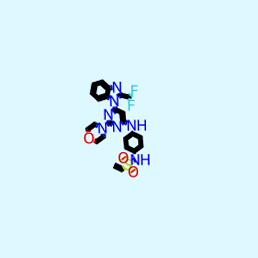 C=CS(=O)(=O)N[C@H]1CC[C@H](Nc2cc(-n3c(C(F)F)nc4ccccc43)nc(N3CCOCC3)n2)CC1